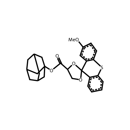 COc1ccc2c(c1)C1(OCC(C(=O)OC34CC5CC(CC(C5)C3)C4)O1)c1ccccc1S2